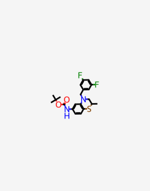 CC1CN(Cc2cc(F)cc(F)c2)c2cc(NC(=O)OC(C)(C)C)ccc2S1